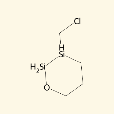 ClC[SiH]1CCCO[SiH2]1